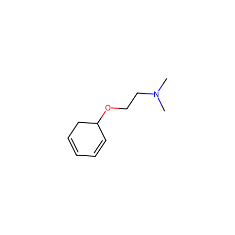 CN(C)CCOC1C=CC=CC1